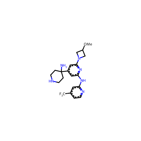 COC1CN(c2cc(C3(N)CCNCC3)cc(Nc3cc(C(F)(F)F)ccn3)n2)C1